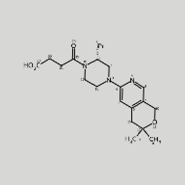 CC(C)[C@@H]1CN(c2cc3c(cn2)COC(C)(C)C3)CCN1C(=O)CCC(=O)O